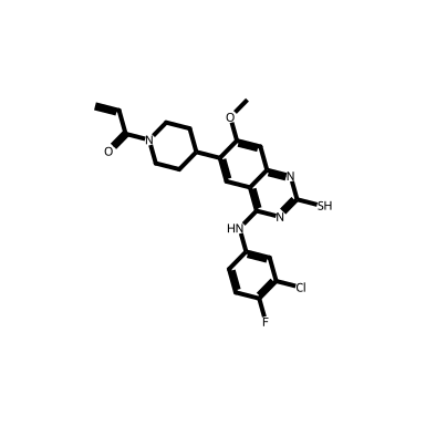 C=CC(=O)N1CCC(c2cc3c(Nc4ccc(F)c(Cl)c4)nc(S)nc3cc2OC)CC1